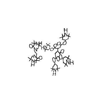 CC1(C)CC(OC(=O)CC(C(=O)OC2CC(C)(C)NC(C)(C)C2)C(CC(=O)OC2CC(C)(C)NC(C)(C)C2)C(=O)OC2CC(C)(C)NC(C)(C)C2)CC(C)(C)N1.CC1(C)CN(CCN2CC(C)(C)NC(C)(C)C2=O)C(=O)C(C)(C)N1